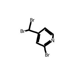 Brc1cc(C(Br)Br)ccn1